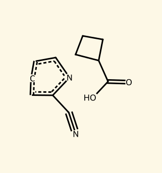 N#Cc1ccccn1.O=C(O)C1CCC1